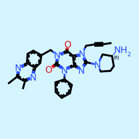 CC#CCn1c(N2CCC[C@@H](N)C2)nc2c1c(=O)n(Cc1ccc3nc(C)c(C)nc3c1)c(=O)n2-c1ccccc1